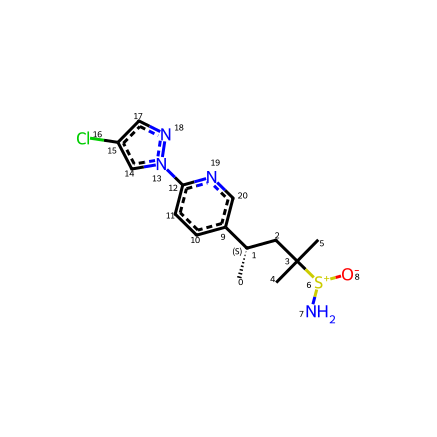 C[C@@H](CC(C)(C)[S+](N)[O-])c1ccc(-n2cc(Cl)cn2)nc1